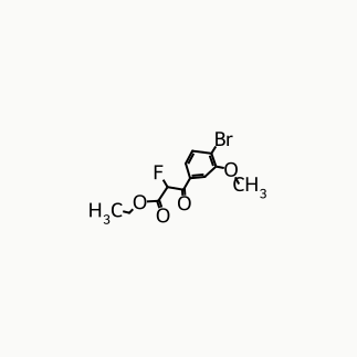 CCOC(=O)C(F)C(=O)c1ccc(Br)c(OC)c1